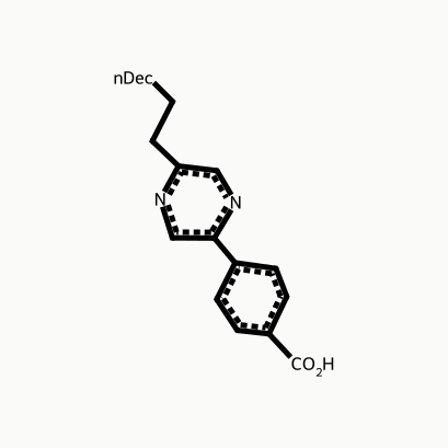 CCCCCCCCCCCCc1cnc(-c2ccc(C(=O)O)cc2)cn1